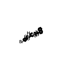 O=C1OC(c2cccc3ccccc23)=N/C1=C/N1CCC(CNS(=O)(=O)c2ccc(Br)cc2)CC1